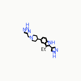 CCc1c(-c2cn[nH]c2)[nH]c2ccc(C3CCN(Cc4cn[nH]n4)CC3)cc12